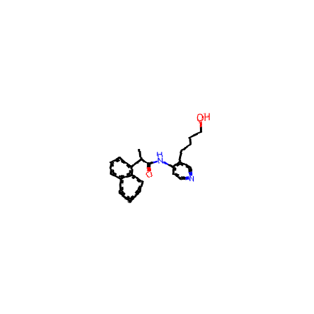 CC(C(=O)Nc1ccncc1CCCCO)c1cccc2ccccc12